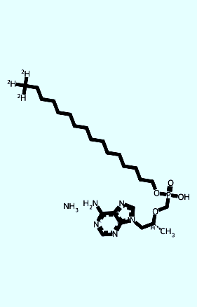 N.[2H]C([2H])([2H])CCCCCCCCCCCCCCCOP(=O)(O)CO[C@H](C)Cn1cnc2c(N)ncnc21